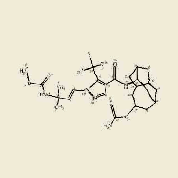 COC(=O)NC(C)(C)/C=C/n1ncc(C(=O)N[C@@H]2C3CC(OC(N)=O)CC4CC2CC4C3)c1C(F)(F)F